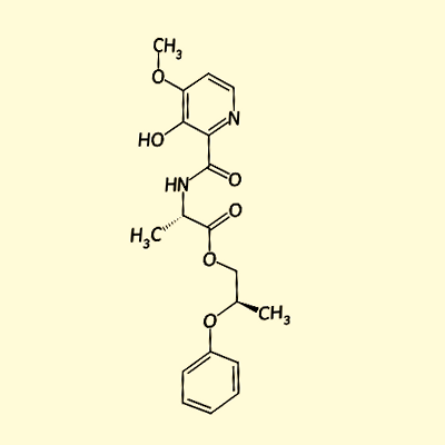 COc1ccnc(C(=O)N[C@@H](C)C(=O)OC[C@@H](C)Oc2ccccc2)c1O